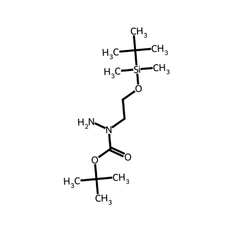 CC(C)(C)OC(=O)N(N)CCO[Si](C)(C)C(C)(C)C